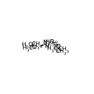 CC(C)(C)OCCC#Cc1ncc(OC2CC(OC(C)(C)C)C2)cn1